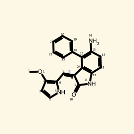 COc1cc[nH]c1/C=C1\C(=O)Nc2ccc(N)c(-c3ccccc3)c21